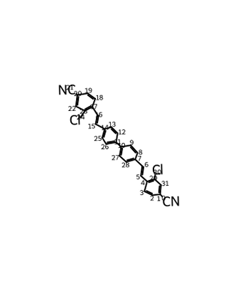 N#Cc1ccc(/C=C/c2ccc(-c3ccc(/C=C/c4ccc(C#N)cc4Cl)cc3)cc2)c(Cl)c1